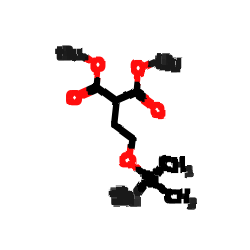 CC(C)(C)OC(=O)C(CCO[Si](C)(C)C(C)(C)C)C(=O)OC(C)(C)C